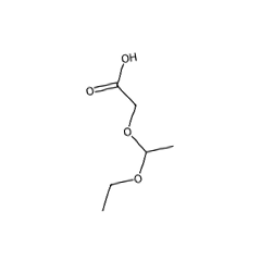 CCOC(C)OCC(=O)O